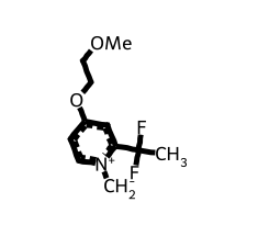 [CH2-][n+]1ccc(OCCOC)cc1C(C)(F)F